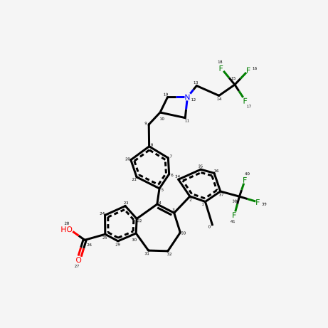 Cc1c(C2=C(c3ccc(CC4CN(CCC(F)(F)F)C4)cc3)c3ccc(C(=O)O)cc3CCC2)cccc1C(F)(F)F